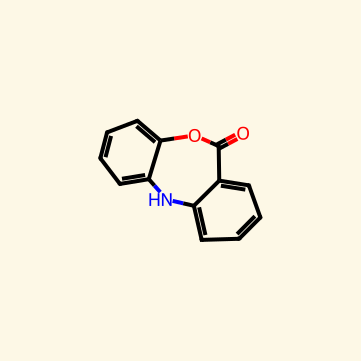 O=C1Oc2ccccc2Nc2ccccc21